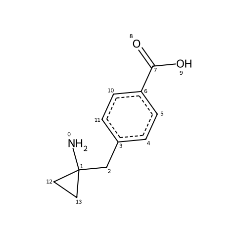 NC1(Cc2ccc(C(=O)O)cc2)CC1